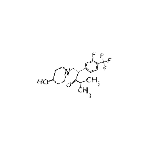 CC(C)C(=O)[C@H](CN1CCC(O)CC1)c1ccc(C(F)(F)F)c(F)c1